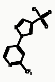 O=S(=O)(Cl)c1cnn(-c2ccnc(C(F)(F)F)c2)c1